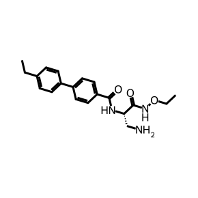 CCONC(=O)[C@H](CN)NC(=O)c1ccc(-c2ccc(CC)cc2)cc1